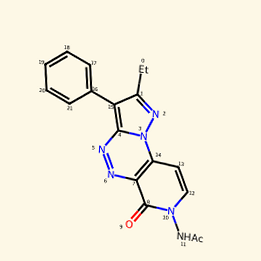 CCc1nn2c(nnc3c(=O)n(NC(C)=O)ccc32)c1-c1ccccc1